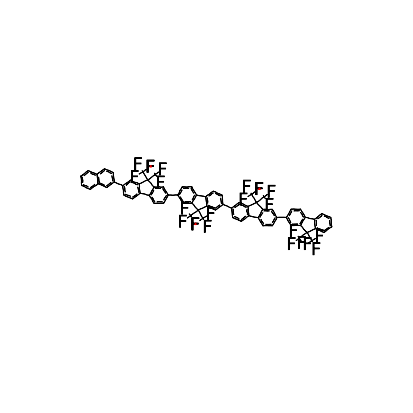 FC(F)(F)C1(C(F)(F)F)c2ccccc2-c2ccc(-c3ccc4c(c3)C(C(F)(F)F)(C(F)(F)F)c3cc(-c5ccc6c(c5)C(C(F)(F)F)(C(F)(F)F)c5cc(-c7ccc8c(c7)C(C(F)(F)F)(C(F)(F)F)c7cc(-c9ccc%10ccccc%10c9)ccc7-8)ccc5-6)ccc3-4)cc21